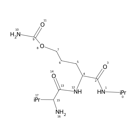 CC(C)NC(=O)C(CCCOC(N)=O)NC(=O)C(N)C(C)C